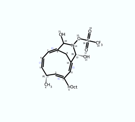 CCCCCCCCC1=C\[C@H](C)/C=C\C=C2/C/C(=C\1)[C@@H](O)N(OS(=O)(=O)C(F)(F)F)C2O